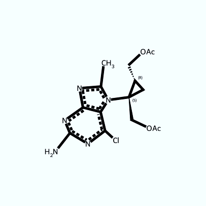 CC(=O)OC[C@@H]1C[C@]1(COC(C)=O)n1c(C)nc2nc(N)nc(Cl)c21